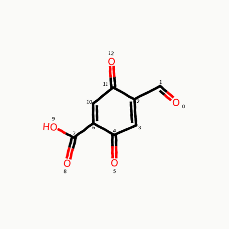 O=CC1=CC(=O)C(C(=O)O)=CC1=O